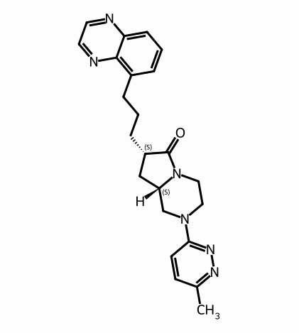 Cc1ccc(N2CCN3C(=O)[C@@H](CCCc4cccc5nccnc45)C[C@H]3C2)nn1